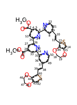 COC(=O)c1cc(-c2cc(C=Cc3scc4c3OCCO4)ccn2)nc(-c2cc(C(=O)OC)cc(-c3cc(C=Cc4scc5c4OCCO5)ccn3)n2)c1